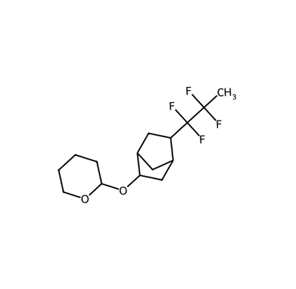 CC(F)(F)C(F)(F)C1CC2CC1CC2OC1CCCCO1